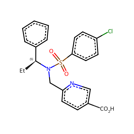 CC[C@@H](c1ccccc1)N(Cc1ccc(C(=O)O)cn1)S(=O)(=O)c1ccc(Cl)cc1